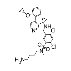 CN(CCCCN)S(=O)(=O)c1cc(CNC2(c3cnccc3-c3ccccc3OC3CC3)CC2)c(Cl)cc1Cl